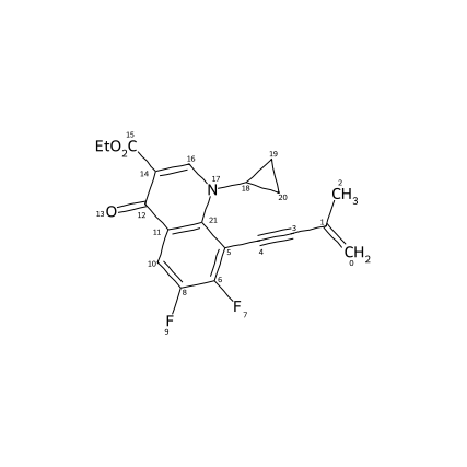 C=C(C)C#Cc1c(F)c(F)cc2c(=O)c(C(=O)OCC)cn(C3CC3)c12